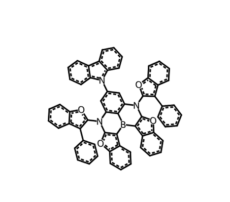 c1ccc(-c2c(N3c4cc(-n5c6ccccc6c6ccccc65)cc5c4B(c4c3oc3ccccc43)c3c(oc4ccccc34)N5c3oc4ccccc4c3-c3ccccc3)oc3ccccc23)cc1